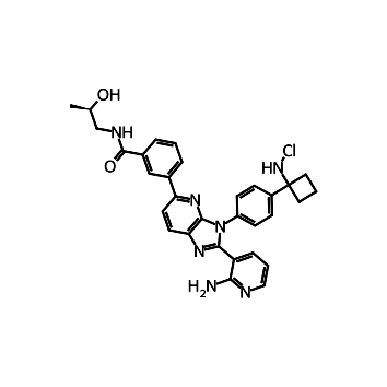 C[C@@H](O)CNC(=O)c1cccc(-c2ccc3nc(-c4cccnc4N)n(-c4ccc(C5(NCl)CCC5)cc4)c3n2)c1